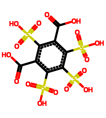 O=C(O)c1c(S(=O)(=O)O)c(C(=O)O)c(S(=O)(=O)O)c(S(=O)(=O)O)c1S(=O)(=O)O